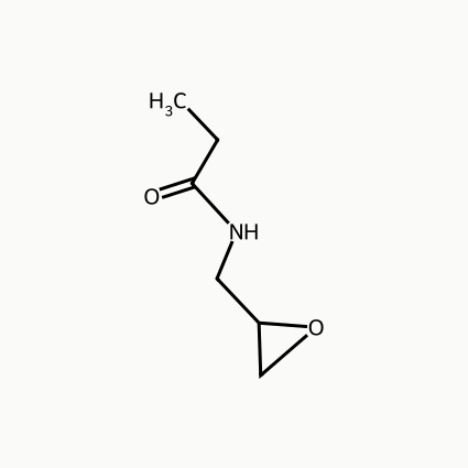 CCC(=O)NCC1CO1